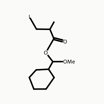 COC(OC(=O)C(C)CI)C1CCCCC1